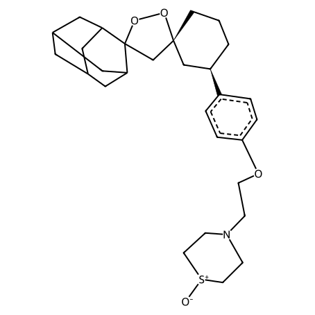 [O-][S+]1CCN(CCOc2ccc([C@@H]3CCC[C@@]4(C3)CC3(OO4)C4CC5CC(C4)CC3C5)cc2)CC1